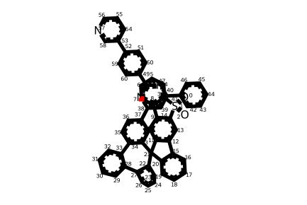 O=S1(=O)c2ccccc2-c2cc3c(cc21)-c1ccccc1C31c2ccccc2-c2ccccc2-c2ccc(-c3cc(-c4ccccc4)nc(-c4ccc(-c5cccnc5)cc4)n3)cc21